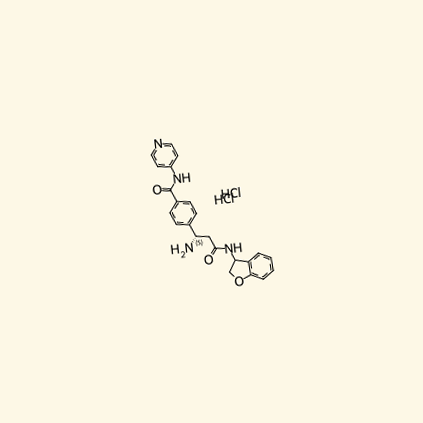 Cl.Cl.N[C@@H](CC(=O)NC1COc2ccccc21)c1ccc(C(=O)Nc2ccncc2)cc1